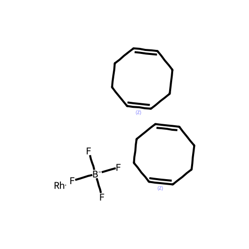 C1=CCC/C=C\CC1.C1=CCC/C=C\CC1.F[B-](F)(F)F.[Rh]